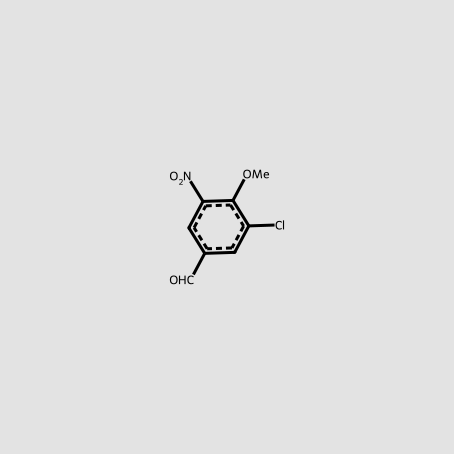 COc1c(Cl)cc(C=O)cc1[N+](=O)[O-]